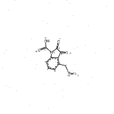 CNCc1cccc2c1C(=O)C(=O)N2C(=O)O